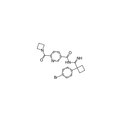 N=C(NC(=O)c1ccc(C(=O)N2CCC2)nc1)C1(c2ccc(Br)cc2)CCC1